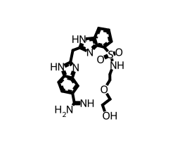 N=C(N)c1ccc2[nH]c(Cc3nc4c(S(=O)(=O)NCCOCCO)cccc4[nH]3)nc2c1